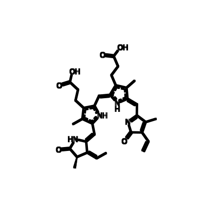 C=CC1=C(C)C(/C=c2\[nH]/c(=C\c3[nH]c(/C=C4\NC(=O)[C@H](C)\C4=C\C)c(C)c3CCC(=O)O)c(CCC(=O)O)c2C)=NC1=O